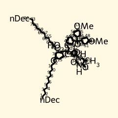 CCCCCCCCCCCCCCCCCCCCCCOc1ccc(CC(CC(=O)O)(C(=O)O)[C@H]2C[C@H](n3cc(C)c(=O)[nH]c3=O)O[C@@H]2COC(c2ccccc2)(c2ccc(OC)cc2)c2ccc(OC)cc2)c(OCCCCCCCCCCCCCCCCCCCCCC)c1